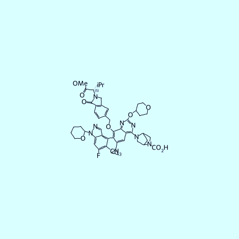 COC(=O)[C@H](C(C)C)N1Cc2cc(COc3c(-c4c(C)c(F)cc5c4cnn5C4CCCCO4)c(C4CC4)cc4c(N5CC6CC5CN6C(=O)O)nc(OC5CCOCC5)nc34)ccc2C1=O